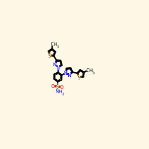 Cc1csc(-c2ccn(-c3ccc(S(N)(=O)=O)cc3-n3ccc(-c4cc(C)cs4)n3)n2)c1